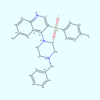 Cc1ccc(S(=O)(=O)c2cnc3ccc(C)cc3c2N2CCN(Cc3ccccc3)CC2)cc1